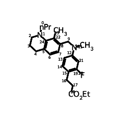 CCCN1CCCc2ccc(CN(C)c3ccc(CCC(=O)OCC)c(F)c3)c(C)c21